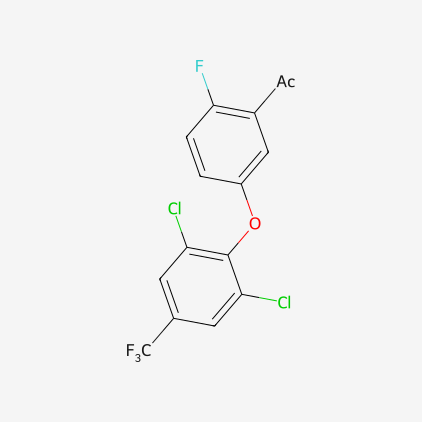 CC(=O)c1cc(Oc2c(Cl)cc(C(F)(F)F)cc2Cl)ccc1F